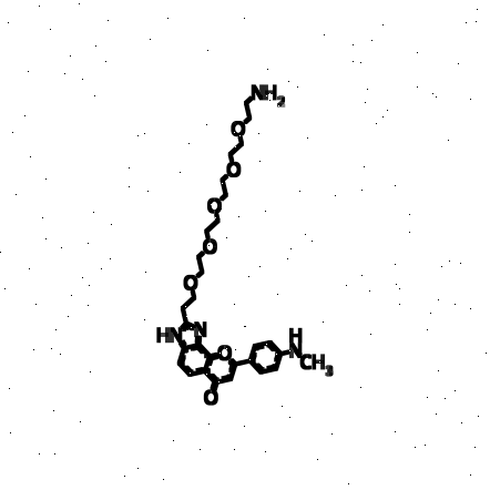 CNc1ccc(-c2cc(=O)c3ccc4[nH]c(CCOCCOCCOCCOCCOCCN)nc4c3o2)cc1